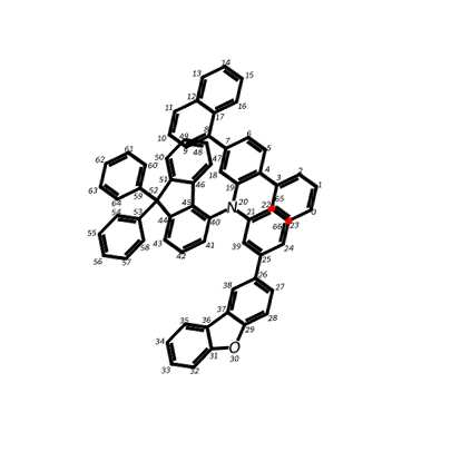 c1ccc(-c2ccc(-c3cccc4ccccc34)cc2N(c2cccc(-c3ccc4oc5ccccc5c4c3)c2)c2cccc3c2-c2ccccc2C3(c2ccccc2)c2ccccc2)cc1